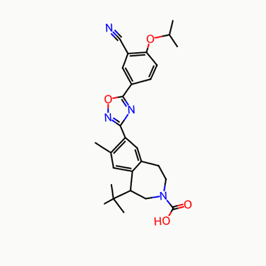 Cc1cc2c(cc1-c1noc(-c3ccc(OC(C)C)c(C#N)c3)n1)CCN(C(=O)O)CC2C(C)(C)C